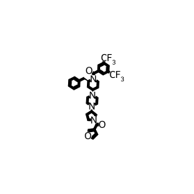 O=C(c1ccoc1)N1CC[C@@H](N2CCN([C@H]3CCN(C(=O)c4cc(C(F)(F)F)cc(C(F)(F)F)c4)[C@H](Cc4ccccc4)C3)CC2)C1